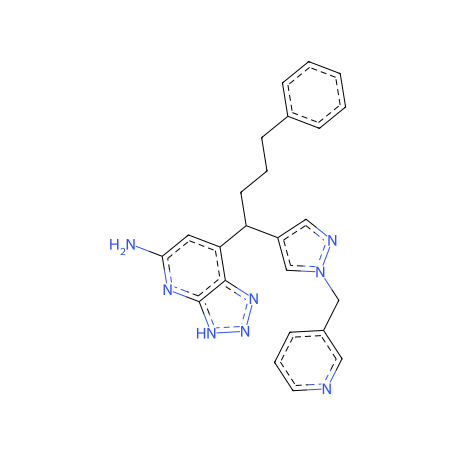 Nc1cc(C(CCCc2ccccc2)c2cnn(Cc3cccnc3)c2)c2nn[nH]c2n1